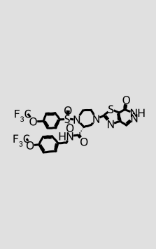 O=C(NCc1ccc(OC(F)(F)F)cc1)[C@H]1CN(c2nc3cn[nH]c(=O)c3s2)CCN1S(=O)(=O)c1ccc(OC(F)(F)F)cc1